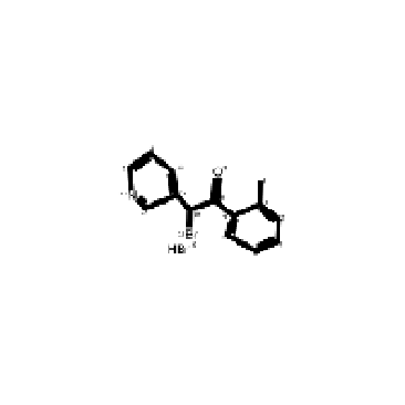 Br.Cc1ccccc1C(=O)C(Br)c1cccnc1